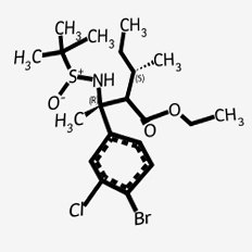 CCOC(=O)C([C@@H](C)CC)[C@@](C)(N[S+]([O-])C(C)(C)C)c1ccc(Br)c(Cl)c1